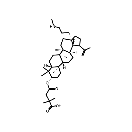 C=C(C)C1CC[C@]2(CCCNC)CC[C@]3(C)[C@H](CC[C@@H]4[C@@]5(C)CC[C@H](OC(=O)CC(C)(C)C(=O)O)C(C)(C)[C@@H]5CC[C@]43C)[C@@H]12